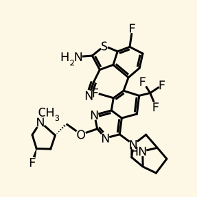 CN1C[C@H](F)C[C@H]1COc1nc(N2CC3CCC(C2)N3)c2cc(C(F)(F)F)c(-c3ccc(F)c4sc(N)c(C#N)c34)c(F)c2n1